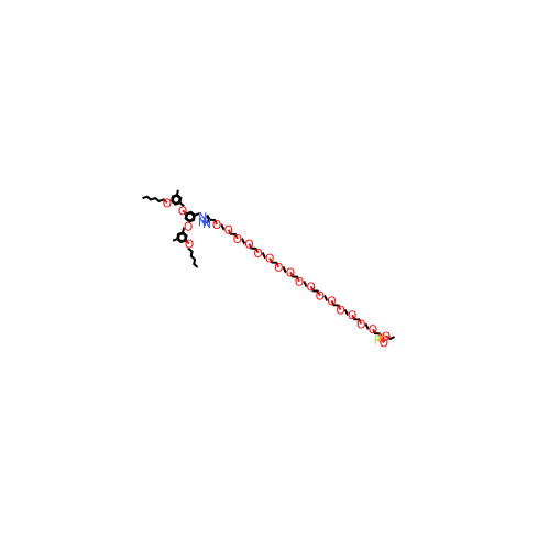 CCCCCCOc1cc(C)cc(COc2cc(Cn3cc(COCCOCCOCCOCCOCCOCCOCCOCCOCCOCCOCCOCCOCCOCCOCCOCCP(=O)(F)OCC)nn3)cc(OCc3cc(C)cc(OCCCCCC)c3)c2)c1